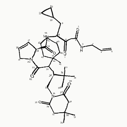 C=CCNC(=O)C(=O)C(CC1CC1)NC(=O)[C@@H]1C=CCN1C(=O)C([C@H](CN1C(=O)CC(C)(C)CC1=O)C(C)(C)C)C1(C)CCCCC1